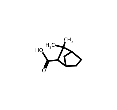 CC1(C)C2CCC(C2)C1C(=O)O